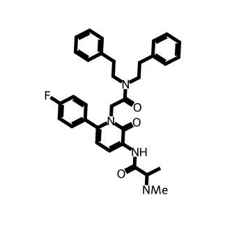 CNC(C)C(=O)Nc1ccc(-c2ccc(F)cc2)n(CC(=O)N(CCc2ccccc2)CCc2ccccc2)c1=O